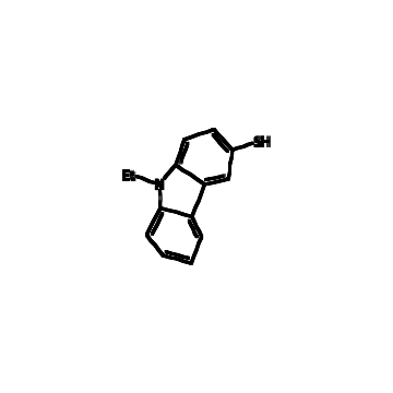 CCn1c2ccccc2c2cc(S)ccc21